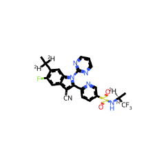 [2H]C([2H])(C)c1cc2c(cc1F)c(C#N)c(-c1ccc(S(=O)(=O)N[C@@]([2H])(C)C(F)(F)F)cn1)n2-c1ncccn1